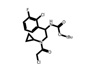 CC(C)(C)OC(=O)NC(CN(C(=O)CCl)C1CC1)c1cccc(F)c1Cl